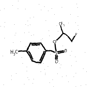 Cc1ccc(S(=O)(=O)OC(CF)C(F)(F)F)cc1